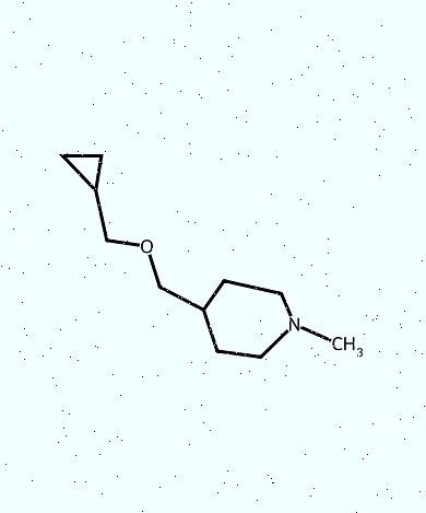 CN1CCC(COCC2CC2)CC1